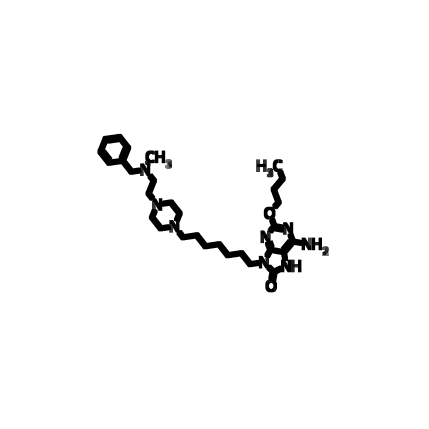 CCCCOc1nc(N)c2[nH]c(=O)n(CCCCCCCN3CCN(CCN(C)Cc4ccccc4)CC3)c2n1